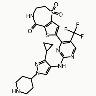 O=C1NCCS(=O)(=O)c2cc(-c3nc(Nc4cn(C5CCNCC5)nc4C4CC4)ncc3C(F)(F)F)sc21